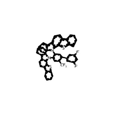 Fc1cc(F)cc(-c2cc(-n3c4ccccc4c4ccc5c6ccccc6sc5c43)c(-n3c4ccccc4c4ccc5c6ccccc6sc5c43)cc2C(F)(F)F)c1